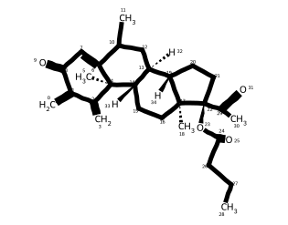 C=C1C(=C)[C@@]2(C)C(=CC1=O)C(C)C[C@@H]1[C@@H]2CC[C@@]2(C)[C@H]1CC[C@]2(OC(=O)CCC)C(C)=O